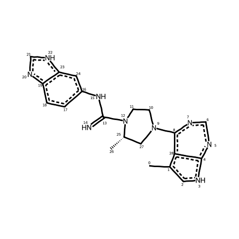 Cc1c[nH]c2ncnc(N3CCN(C(=N)Nc4ccc5nc[nH]c5c4)[C@@H](C)C3)c12